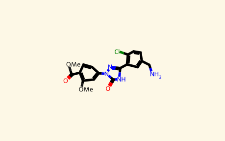 COC(=O)c1ccc(-n2nc(-c3cc(CN)ccc3Cl)[nH]c2=O)cc1OC